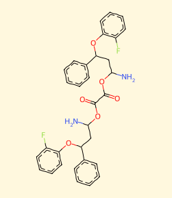 NC(CC(Oc1ccccc1F)c1ccccc1)OC(=O)C(=O)OC(N)CC(Oc1ccccc1F)c1ccccc1